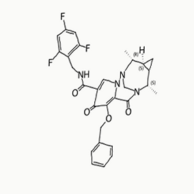 C[C@@H]1[C@H]2CC2[C@H](C)N2CN1n1cc(C(=O)NCc3c(F)cc(F)cc3F)c(=O)c(OCc3ccccc3)c1C2=O